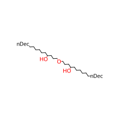 CCCCCCCCCCCCCCCCC(O)CCCOCCCC(O)CCCCCCCCCCCCCCCC